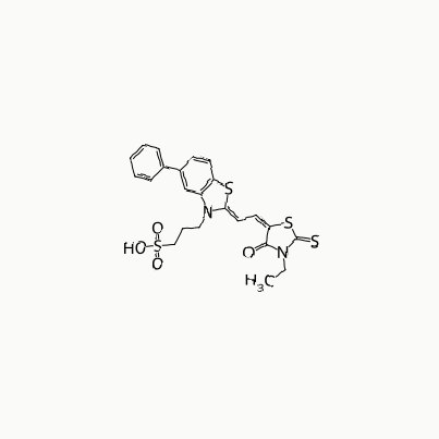 CCN1C(=O)/C(=C\C=C2/Sc3ccc(-c4ccccc4)cc3N2CCCS(=O)(=O)O)SC1=S